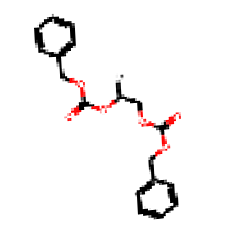 CCC(COC(=O)OCc1ccccc1)OC(=O)OCc1ccccc1